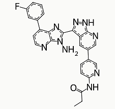 CCC(=O)Nc1ccc(-c2cnc3[nH]nc(-c4nc5c(-c6cccc(F)c6)ccnc5n4N)c3c2)cn1